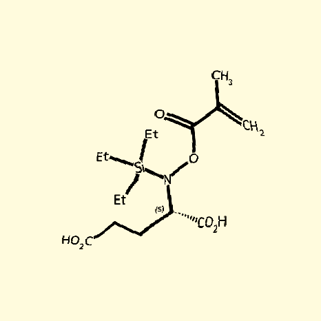 C=C(C)C(=O)ON([C@@H](CCC(=O)O)C(=O)O)[Si](CC)(CC)CC